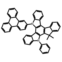 CC1(C)c2ccccc2-c2c1c1c(c3ccccc3n1-c1ccccc1)c1c2c2ccccc2n1-c1ccc2c3ccccc3c3ccccc3c2c1